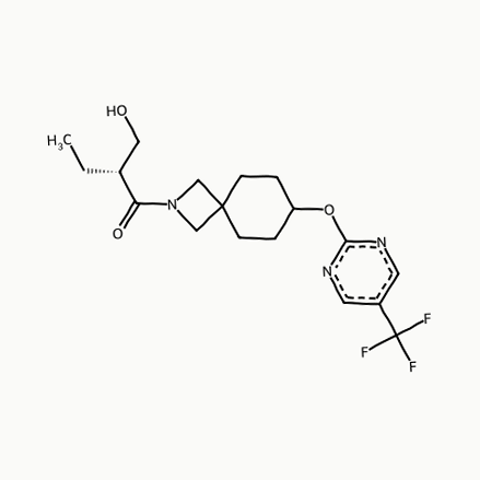 CC[C@H](CO)C(=O)N1CC2(CCC(Oc3ncc(C(F)(F)F)cn3)CC2)C1